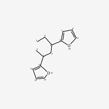 [CH2]C(CC(CC)c1ccco1)c1ccco1